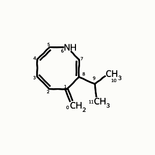 C=C1/C=C\C=C/N/C=C\1C(C)C